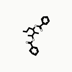 CCCC(OC(=O)c1ccccc1)C(C)C(C)OC(=O)c1ccccc1